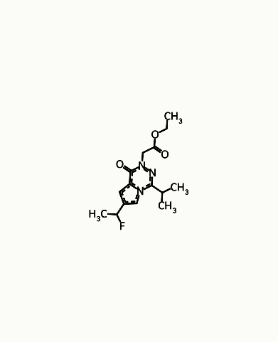 CCOC(=O)Cn1nc(C(C)C)n2cc(C(C)F)cc2c1=O